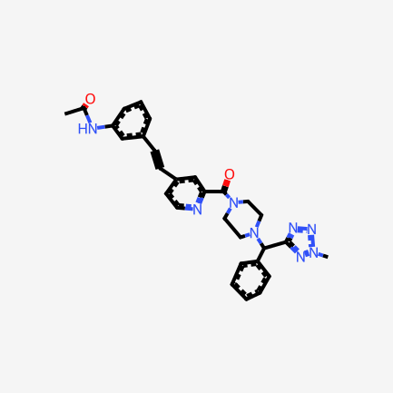 CC(=O)Nc1cccc(C#Cc2ccnc(C(=O)N3CCN(C(c4ccccc4)c4nnn(C)n4)CC3)c2)c1